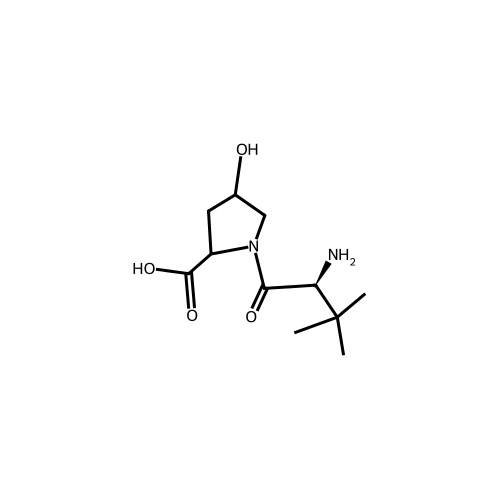 CC(C)(C)[C@H](N)C(=O)N1CC(O)CC1C(=O)O